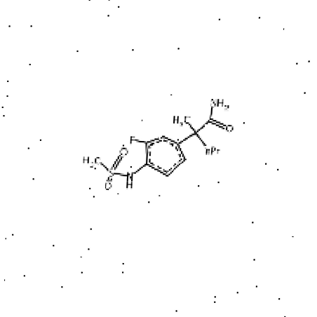 CCCC(C)(C(N)=O)c1ccc(NS(C)(=O)=O)c(F)c1